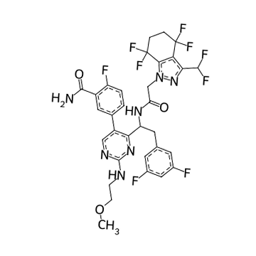 COCCNc1ncc(-c2ccc(F)c(C(N)=O)c2)c(C(Cc2cc(F)cc(F)c2)NC(=O)Cn2nc(C(F)F)c3c2C(F)(F)CCC3(F)F)n1